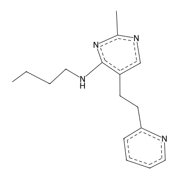 CCCCNc1nc(C)ncc1CCc1ccccn1